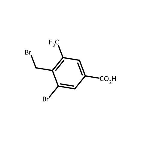 O=C(O)c1cc(Br)c(CBr)c(C(F)(F)F)c1